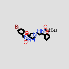 CC(C)(C)OC(=O)NC(CCN1CCC2(CC1)NC(=O)N(Cc1ccc(Br)cc1)C2=O)c1ccccc1